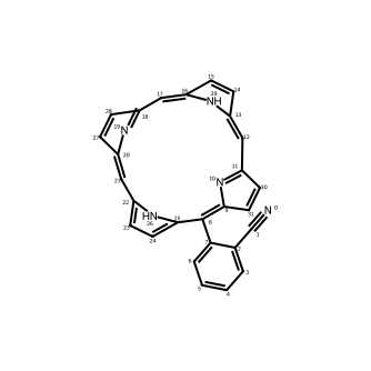 N#Cc1ccccc1-c1c2nc(cc3ccc(cc4nc(cc5ccc1[nH]5)C=C4)[nH]3)C=C2